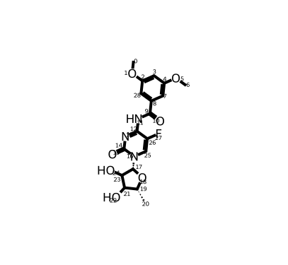 COc1cc(OC)cc(C(=O)Nc2nc(=O)n([C@@H]3O[C@H](C)C(O)C3O)cc2F)c1